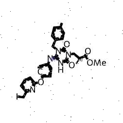 COC(=O)[C@@H](C)Cn1c(=O)[nH]/c(=N\c2ccc(Oc3cccc(CI)n3)cc2)n(Cc2ccc(C)cc2)c1=O